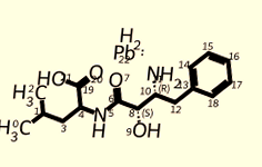 CC(C)CC(NC(=O)[C@@H](O)[C@H](N)Cc1ccccc1)C(=O)O.[PbH2]